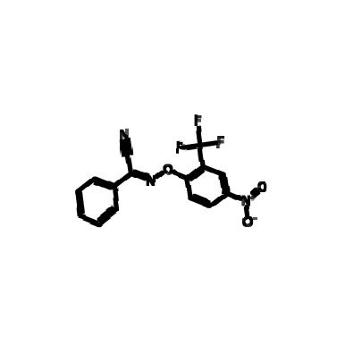 N#CC(=NOc1ccc([N+](=O)[O-])cc1C(F)(F)F)c1ccccc1